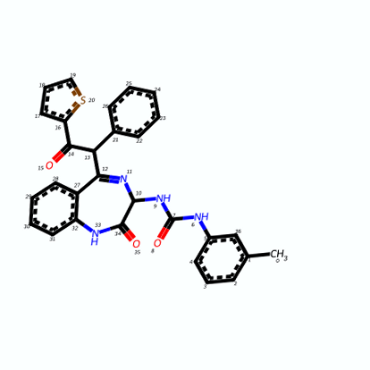 Cc1cccc(NC(=O)NC2N=C(C(C(=O)c3cccs3)c3ccccc3)c3ccccc3NC2=O)c1